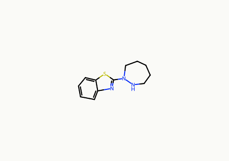 c1ccc2sc(N3CCCCCN3)nc2c1